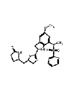 COc1cc2c(c(N(C)S(=O)(=O)c3ccccn3)c1)NC(C1=NCC(CN3CCC(=O)N3)S1)C2